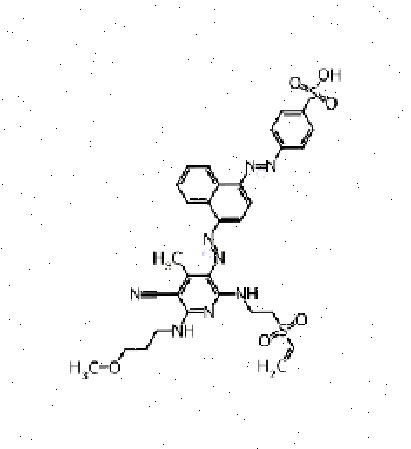 C=CS(=O)(=O)CCNc1nc(NCCCOC)c(C#N)c(C)c1/N=N/c1ccc(/N=N/c2ccc(S(=O)(=O)O)cc2)c2ccccc12